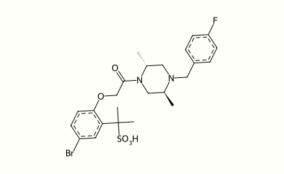 C[C@@H]1CN(Cc2ccc(F)cc2)[C@@H](C)CN1C(=O)COc1ccc(Br)cc1C(C)(C)S(=O)(=O)O